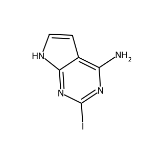 Nc1nc(I)nc2[nH]ccc12